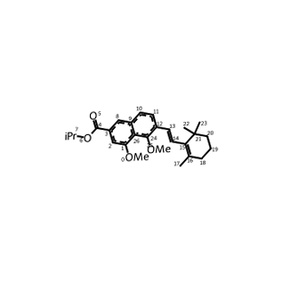 COc1cc(C(=O)OC(C)C)cc2ccc(C=CC3=C(C)CCCC3(C)C)c(OC)c12